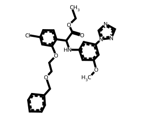 CCOC(=O)C(Nc1cc(OC)cc(-n2cncn2)c1)c1ccc(Cl)cc1OCCOCc1ccccc1